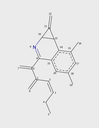 C=C(/C=C\CC)C(=C)C1=NC2C(=C)C2c2c(C)cc(C)cc21